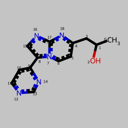 CC(O)Cc1ccn2c(-c3ccn[c]n3)cnc2n1